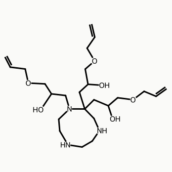 C=CCOCC(O)CN1CCNCCNCC1(CC(O)COCC=C)CC(O)COCC=C